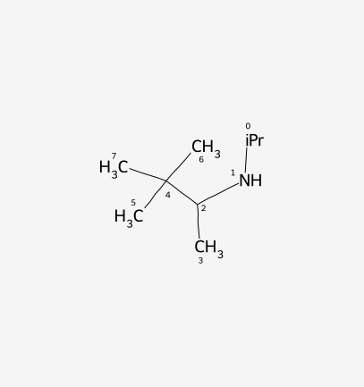 CC(C)NC(C)C(C)(C)C